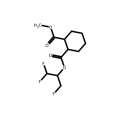 COC(=O)C1CCCCC1C(=O)OC(CF)C(F)F